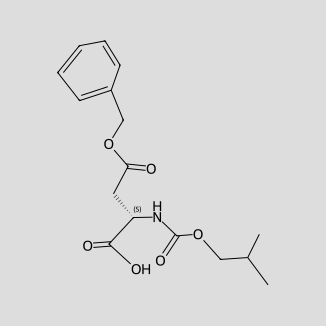 CC(C)COC(=O)N[C@@H](CC(=O)OCc1ccccc1)C(=O)O